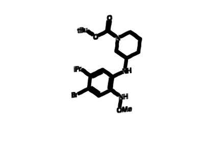 CONc1cc(Br)c(C(C)C)cc1NC1CCCN(C(=O)OC(C)(C)C)C1